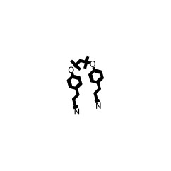 CC(C)(CC(C)(C)Oc1ccc(CCC#N)cc1)Oc1ccc(CCC#N)cc1